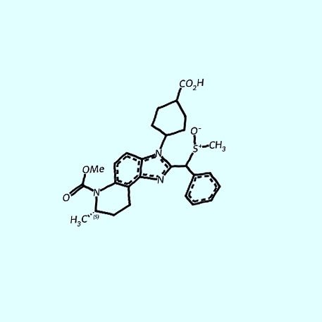 COC(=O)N1c2ccc3c(nc(C(c4ccccc4)[S+](C)[O-])n3C3CCC(C(=O)O)CC3)c2CC[C@@H]1C